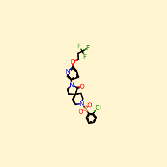 O=C1N(c2ccc(OCCC(F)(F)F)nc2)CCC12CCN(S(=O)(=O)c1ccccc1Cl)CC2